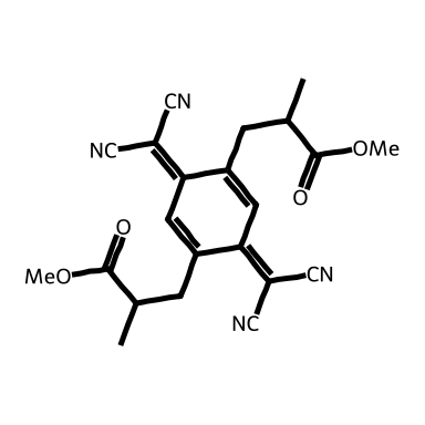 COC(=O)C(C)Cc1cc(=C(C#N)C#N)c(CC(C)C(=O)OC)cc1=C(C#N)C#N